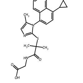 Cc1cnc(SC(C)(C)C(=O)NCC(=O)O)n1-c1ccc(C2CC2)c2ccccc12